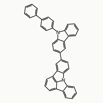 c1ccc(-c2ccc(-n3c4ccccc4c4cc(-c5ccc6c(c5)c5cccc7c8ccccc8n6c75)ccc43)cc2)cc1